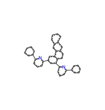 c1ccc(-c2cccc(-c3cc(-c4cccc(-c5ccccc5)n4)c4ccc5cc6ccccc6cc5c4c3)n2)cc1